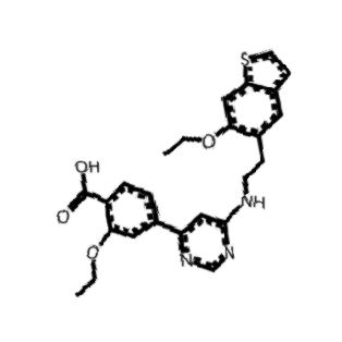 CCOc1cc2sccc2cc1CCNc1cc(-c2ccc(C(=O)O)c(OCC)c2)ncn1